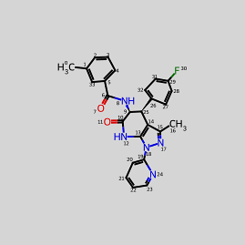 Cc1cccc(C(=O)N[C@@H]2C(=O)Nc3c(c(C)nn3-c3ccccn3)[C@@H]2c2ccc(F)cc2)c1